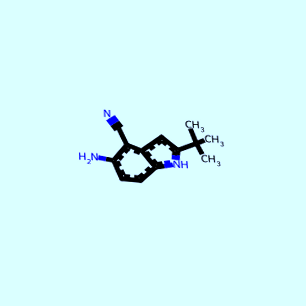 CC(C)(C)c1cc2c(C#N)c(N)ccc2[nH]1